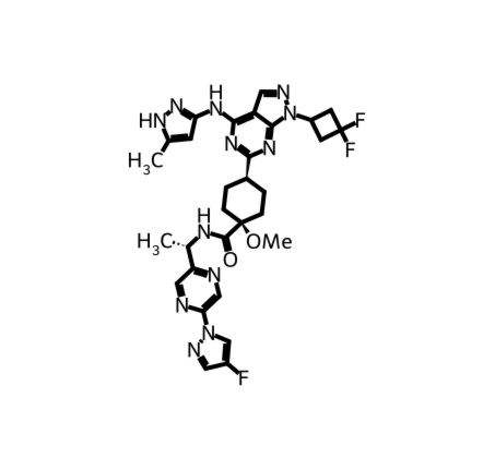 CO[C@]1(C(=O)N[C@@H](C)c2cnc(-n3cc(F)cn3)cn2)CC[C@H](c2nc(Nc3cc(C)[nH]n3)c3cnn(C4CC(F)(F)C4)c3n2)CC1